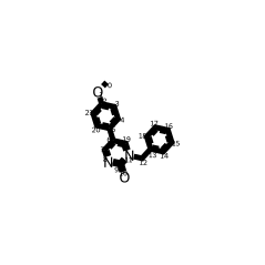 COc1ccc(-c2cnc(=O)n(Cc3ccccc3)c2)cc1